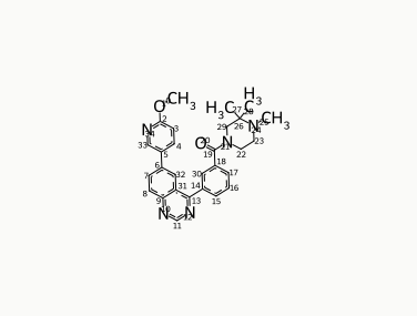 COc1ccc(-c2ccc3ncnc(-c4cccc(C(=O)N5CCN(C)C(C)(C)C5)c4)c3c2)cn1